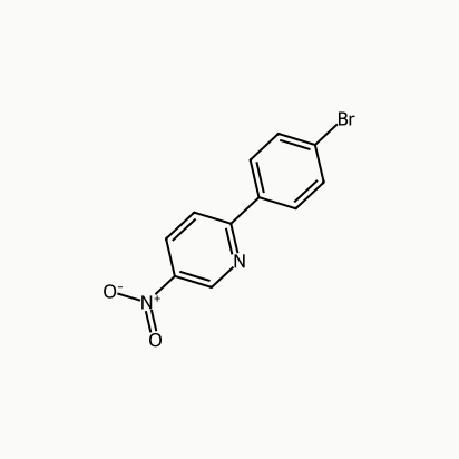 O=[N+]([O-])c1ccc(-c2ccc(Br)cc2)nc1